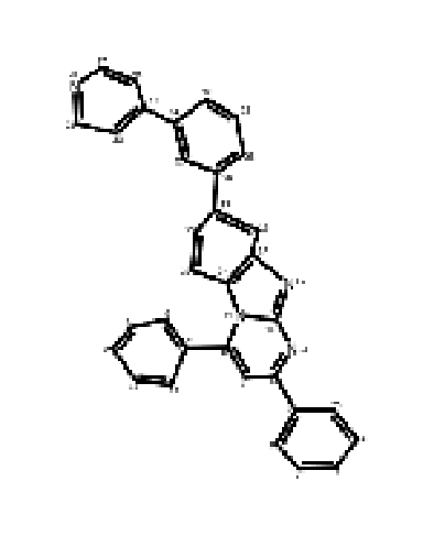 c1ccc(-c2cc(-c3ccccc3)n3c(n2)nc2cc(-c4cccc(-c5ccncc5)c4)ccc23)cc1